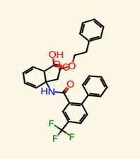 O=C(CC1(NC(=O)c2cc(C(F)(F)F)ccc2-c2ccccc2)C=CC=CC1C(=O)O)OCCc1ccccc1